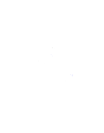 CC(C)(C)N(C(=O)O)c1c(F)ccc(NC(=O)OCc2ccccc2)c1F